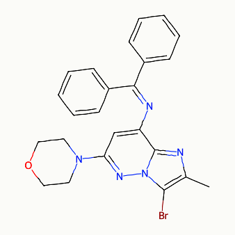 Cc1nc2c(N=C(c3ccccc3)c3ccccc3)cc(N3CCOCC3)nn2c1Br